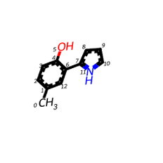 Cc1ccc(O)c(-c2ccc[nH]2)c1